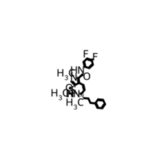 CN=S1(=O)N[C@@H](C(C)CCc2ccccc2)C=Cc2c1cn(C)c2C(=O)Nc1ccc(F)c(F)c1